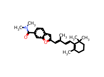 CC1=C(/C=C/C(C)=C/c2cc3ccc(C(=O)N(C)C)cc3o2)C(C)(C)CCC1